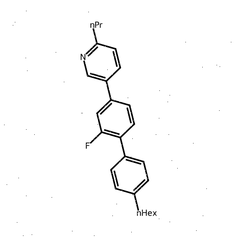 CCCCCCc1ccc(-c2ccc(-c3ccc(CCC)nc3)cc2F)cc1